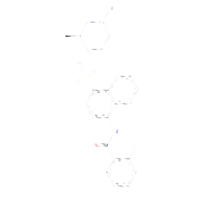 BN1CC[C@H](NS(=O)(=O)c2ccc(NC(=O)c3ccccc3C)c3ccccc23)[C@@H](C)C1